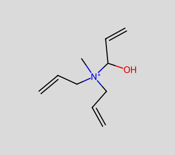 C=CC[N+](C)(CC=C)C(O)C=C